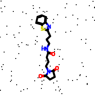 O=C(CCCN1C(=O)CCC1=O)NCCCc1nc2ccccc2s1